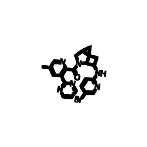 Cc1cnc(C(=O)N2CC3CC34CC(Nc3ccc(Br)cn3)C24)c(-c2ncccn2)c1